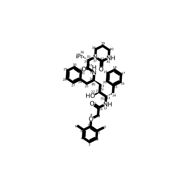 Cc1cccc(C)c1OCC(=O)N[C@@H](Cc1ccccc1)[C@@H](O)C[C@@H](Cc1ccccc1)NC(=O)[C@H](C(C)C)N1CCCNC1=O